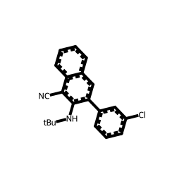 CC(C)(C)Nc1c(-c2cccc(Cl)c2)cc2ccccc2c1C#N